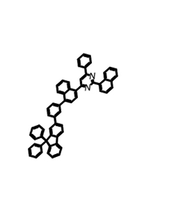 c1ccc(-c2cc(-c3ccc(-c4cccc(-c5ccc6c(c5)C(c5ccccc5)(c5ccccc5)c5ccccc5-6)c4)c4ccccc34)nc(-c3cccc4ccccc34)n2)cc1